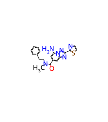 CN(CCc1ccccc1)C(=O)c1cc(N)n2nc(-c3nccs3)nc2c1